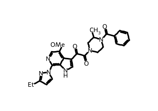 CCc1ccn(-c2ncc(OC)c3c(C(=O)C(=O)N4CCN(C(=O)c5ccccc5)C(C)C4)c[nH]c23)n1